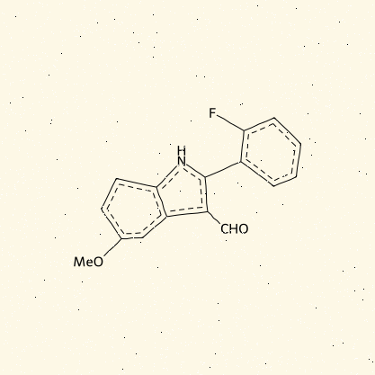 COc1ccc2[nH]c(-c3ccccc3F)c(C=O)c2c1